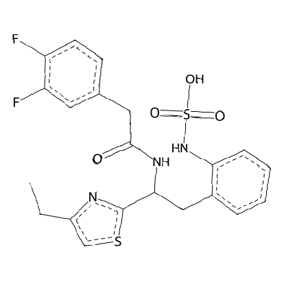 CCc1csc(C(Cc2ccccc2NS(=O)(=O)O)NC(=O)Cc2ccc(F)c(F)c2)n1